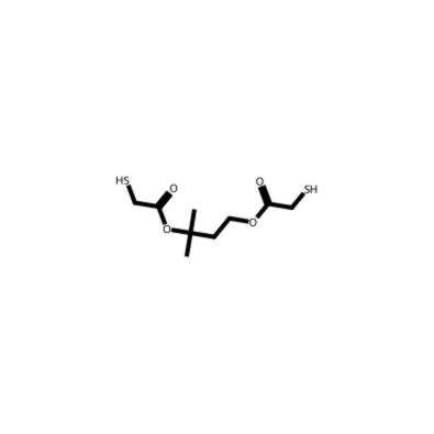 CC(C)(CCOC(=O)CS)OC(=O)CS